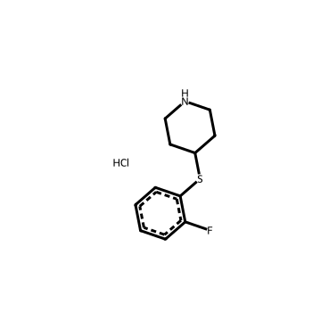 Cl.Fc1ccccc1SC1CCNCC1